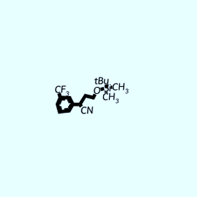 CC(C)(C)[Si](C)(C)OCCC(C#N)c1cccc(C(F)(F)F)c1